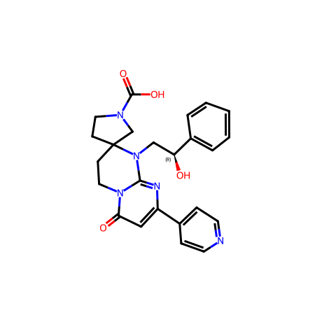 O=C(O)N1CCC2(CCn3c(nc(-c4ccncc4)cc3=O)N2C[C@H](O)c2ccccc2)C1